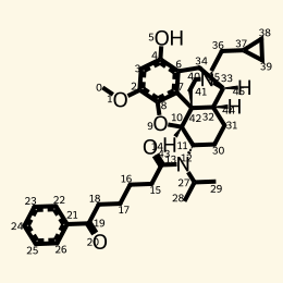 COc1cc(O)c2c3c1O[C@H]1[C@@H](N(C(=O)CCCCC(=O)c4ccccc4)C(C)C)CC[C@H]4[C@@H](C2)N(CC2CC2)CC[C@@]341